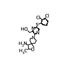 C[C@@H]1OCC2(CCN(c3ncc(Sc4cccc(Cl)c4Cl)nc3CO)CC2)[C@@H]1N